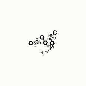 CCCCc1nc2ccc(NC(=O)NC3CCCCC3)cc2n1Cc1ccc(-c2ccccc2OC(=O)NS(=O)(=O)c2ccccc2)cc1